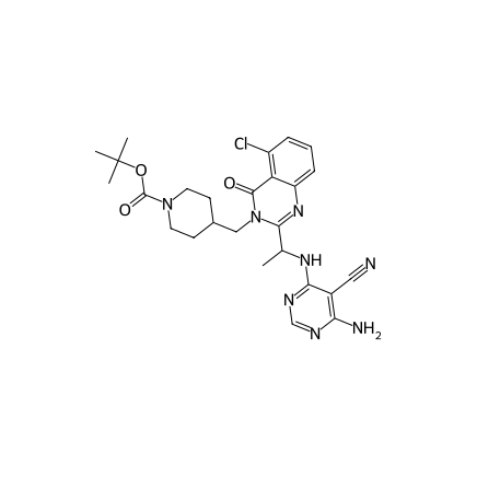 CC(Nc1ncnc(N)c1C#N)c1nc2cccc(Cl)c2c(=O)n1CC1CCN(C(=O)OC(C)(C)C)CC1